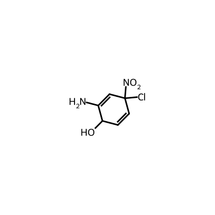 NC1=CC(Cl)([N+](=O)[O-])C=CC1O